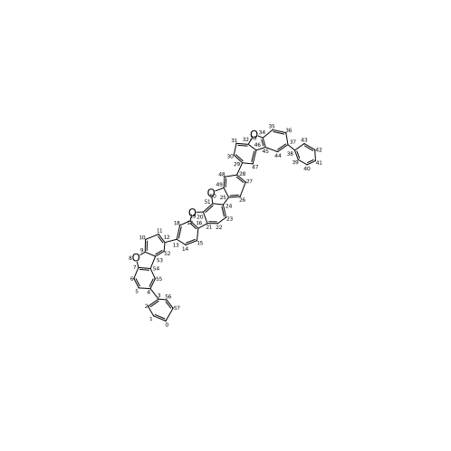 c1ccc(-c2ccc3oc4ccc(-c5ccc6c(c5)oc5c6ccc6c7ccc(-c8ccc9oc%10ccc(-c%11ccccc%11)cc%10c9c8)cc7oc65)cc4c3c2)cc1